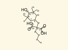 CCCCC(CC1CC(C)(C)C(O)C(C)(C)C1)(C(=O)O)C(=O)O